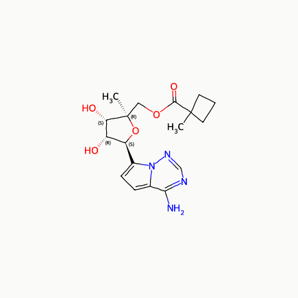 CC1(C(=O)OC[C@@]2(C)O[C@@H](c3ccc4c(N)ncnn34)[C@H](O)[C@@H]2O)CCC1